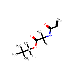 C=CC(=O)NC(C)(C)C(=O)O[Si](C)(C)C(C)(C)C